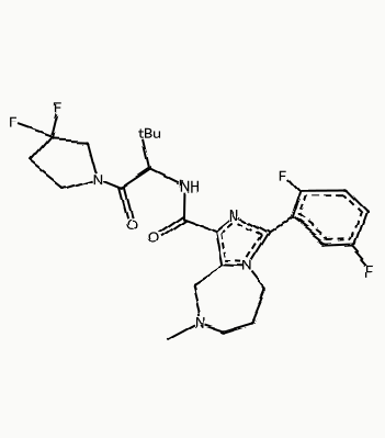 CN1CCCn2c(-c3cc(F)ccc3F)nc(C(=O)NC(C(=O)N3CCC(F)(F)C3)C(C)(C)C)c2C1